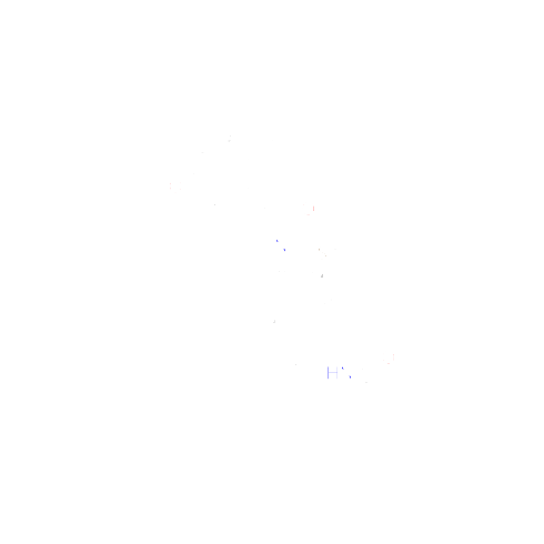 COc1ccc2ccc(Oc3nc4ccc(C(C)CNC(C)=O)cc4s3)cc2c1